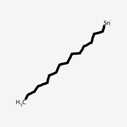 CCCCCCCCCCCCCC[CH2][Sn]